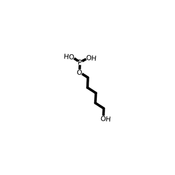 OCCCCCOP(O)O